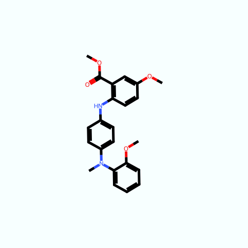 COC(=O)c1cc(OC)ccc1Nc1ccc(N(C)c2ccccc2OC)cc1